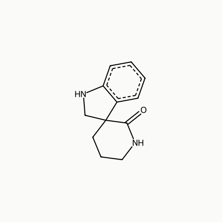 O=C1NCCCC12CNc1ccccc12